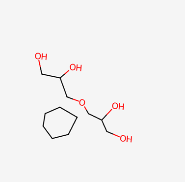 C1CCCCC1.OCC(O)COCC(O)CO